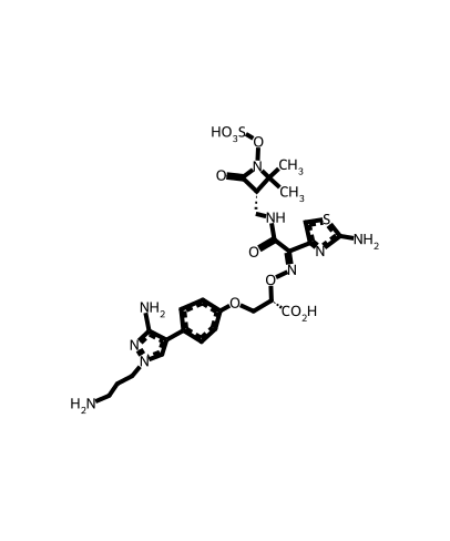 CC1(C)[C@H](CNC(=O)/C(=N\O[C@@H](COc2ccc(-c3cn(CCCN)nc3N)cc2)C(=O)O)c2csc(N)n2)C(=O)N1OS(=O)(=O)O